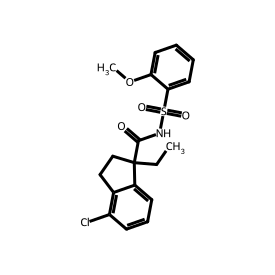 CCC1(C(=O)NS(=O)(=O)c2ccccc2OC)CCc2c(Cl)cccc21